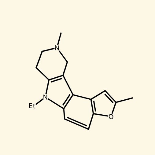 CCn1c2c(c3c4cc(C)oc4ccc31)CN(C)CC2